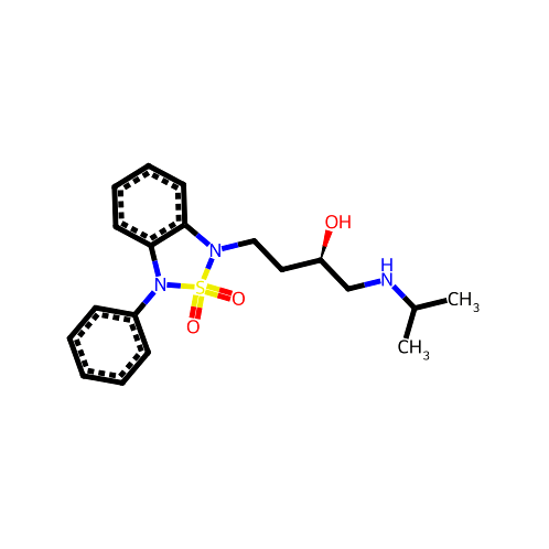 CC(C)NC[C@H](O)CCN1c2ccccc2N(c2ccccc2)S1(=O)=O